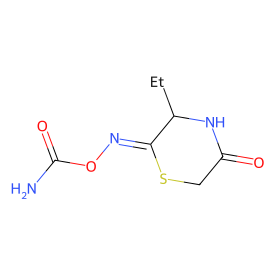 CCC1NC(=O)CSC1=NOC(N)=O